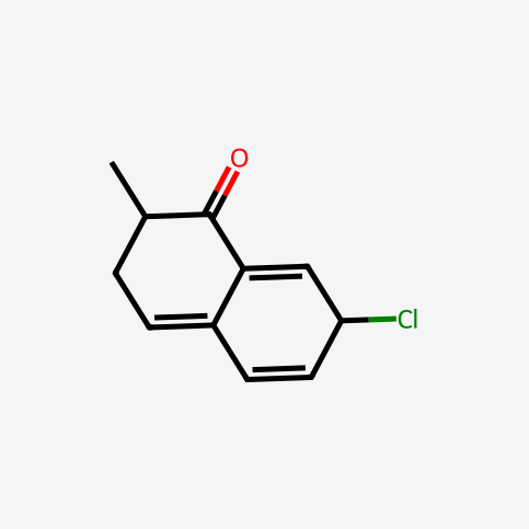 CC1CC=C2C=CC(Cl)C=C2C1=O